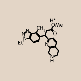 CCn1nnc2c(C)c(C(CC(=O)OC)c3ccc4c(n3)CNCC4)ccc21.[H+]